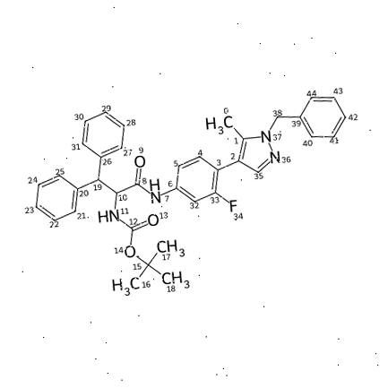 Cc1c(-c2ccc(NC(=O)C(NC(=O)OC(C)(C)C)C(c3ccccc3)c3ccccc3)cc2F)cnn1Cc1ccccc1